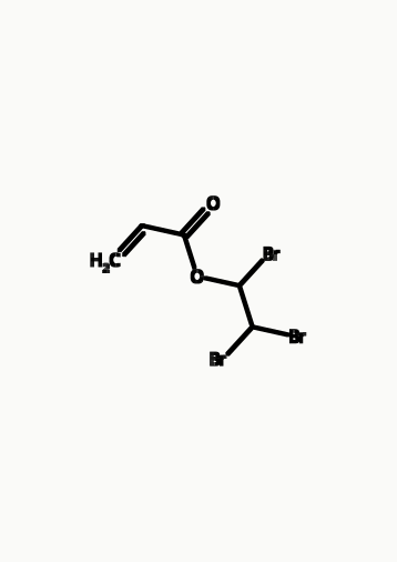 C=CC(=O)OC(Br)C(Br)Br